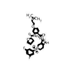 CN(C)CCOc1ccc(C(=O)Nc2n[nH]c3c2CN(S(=O)(=O)c2cc(F)cc(F)c2)CC3)c(NC(=O)[C@@H]2CCCO2)c1